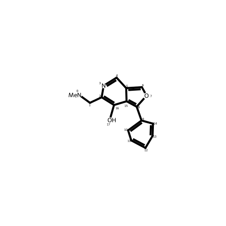 CNCc1ncc2coc(-c3ccccc3)c2c1O